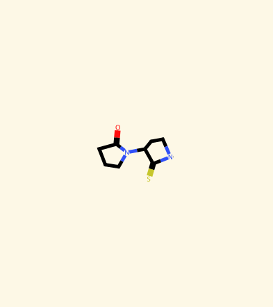 O=C1CCCN1C1CC[N]C1=S